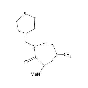 CNC1CC(C)CCN(CC2CCSCC2)C1=O